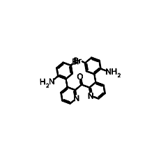 Nc1ccc(Br)cc1-c1cccnc1C(=O)c1ncccc1-c1cc(Br)ccc1N